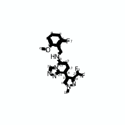 COc1cccc(F)c1CNc1ccc(-c2cn(C)nc2C(F)F)c2nncn12